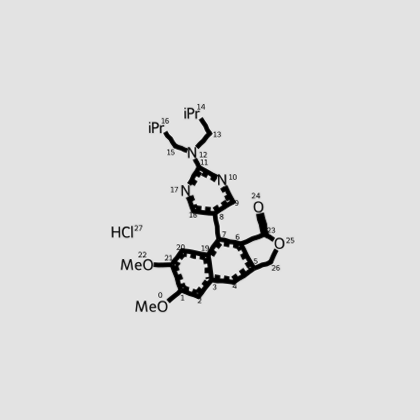 COc1cc2cc3c(c(-c4cnc(N(CC(C)C)CC(C)C)nc4)c2cc1OC)C(=O)OC3.Cl